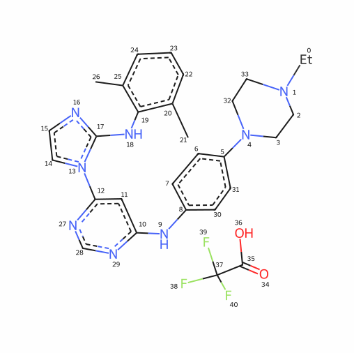 CCN1CCN(c2ccc(Nc3cc(-n4ccnc4Nc4c(C)cccc4C)ncn3)cc2)CC1.O=C(O)C(F)(F)F